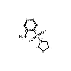 Nc1ccccc1S(=O)(=O)N1CCCC1